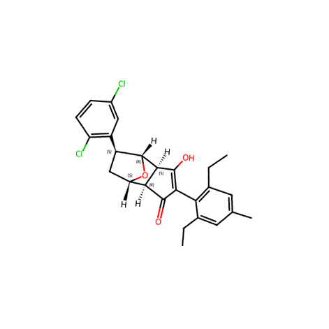 CCc1cc(C)cc(CC)c1C1=C(O)[C@@H]2[C@@H]3O[C@@H](C[C@H]3c3cc(Cl)ccc3Cl)[C@@H]2C1=O